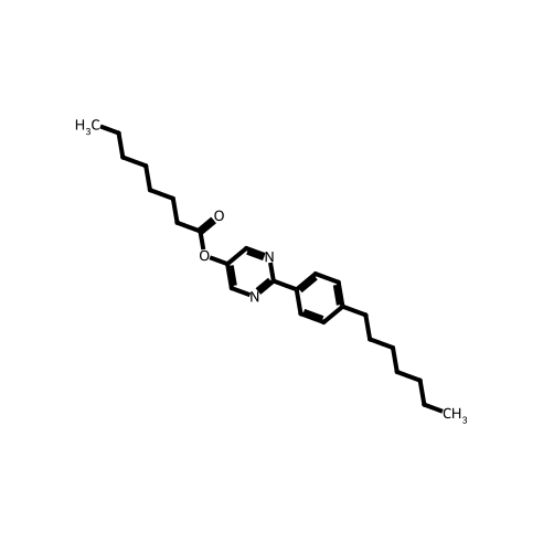 CCCCCCCC(=O)Oc1cnc(-c2ccc(CCCCCCC)cc2)nc1